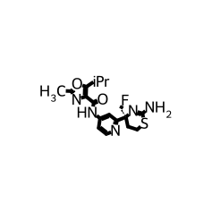 Cc1nc(C(=O)Nc2ccnc([C@]3(CF)CCSC(N)=N3)c2)c(C(C)C)o1